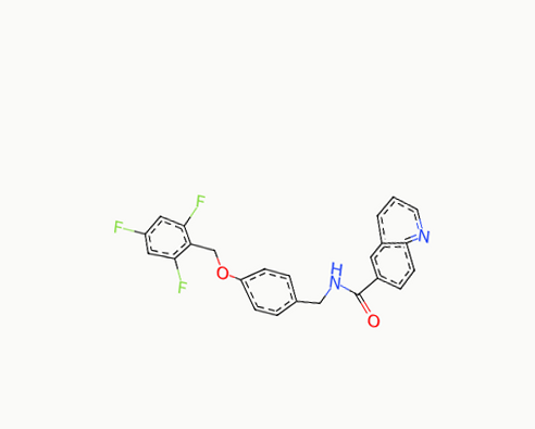 O=C(NCc1ccc(OCc2c(F)cc(F)cc2F)cc1)c1ccc2ncccc2c1